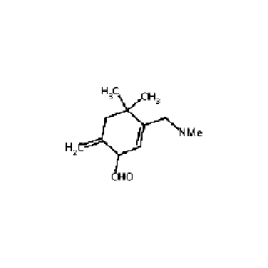 C=C1CC(C)(C)C(CNC)=CC1C=O